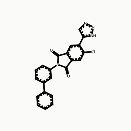 O=C1c2cc(Cl)c(-c3cnn[nH]3)cc2C(=O)N1c1cccc(-c2ccccc2)c1